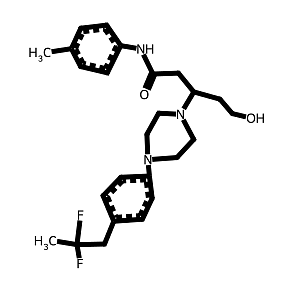 Cc1ccc(NC(=O)CC(CCO)N2CCN(c3ccc(CC(C)(F)F)cc3)CC2)cc1